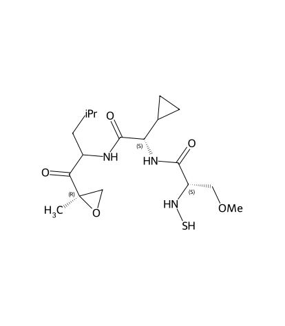 COC[C@H](NS)C(=O)N[C@H](C(=O)NC(CC(C)C)C(=O)[C@@]1(C)CO1)C1CC1